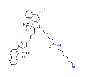 C[N+]1=C(/C=C/C=C/C=C2/N(CCCCCC(=O)NCCCCCCN)c3ccc4ccccc4c3C2(C)C)C(C)(C)c2c1ccc1ccccc21.Cl.[Cl-]